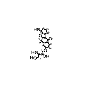 CC1(C)c2cc(OC[C@@H](O)[C@H](O)CO)ccc2C(=O)c2c1oc1c(O)ccnc21